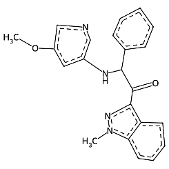 COc1cncc(NC(C(=O)c2nn(C)c3ccccc23)c2ccccc2)c1